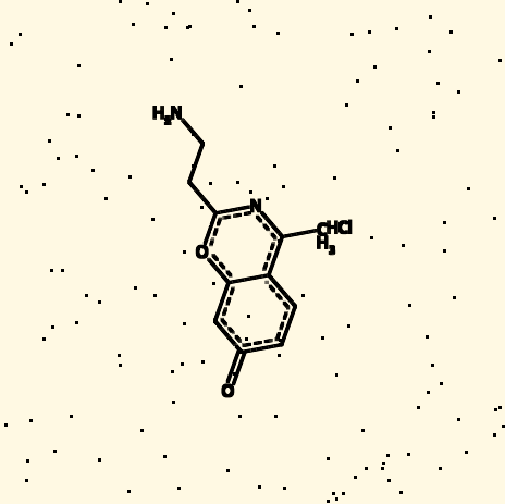 Cc1nc(CCN)oc2cc(=O)ccc1-2.Cl